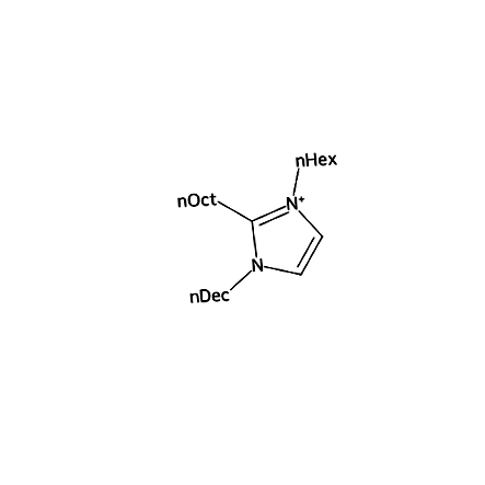 CCCCCCCCCCn1cc[n+](CCCCCC)c1CCCCCCCC